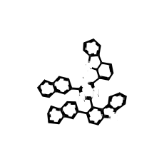 C1=CC2c3ccccc3SC2C(c2nc(-c3ccc4ccccc4c3)nc(-c3c(-c4ccc5ccccc5c4)ccc4oc5ccccc5c34)n2)=C1